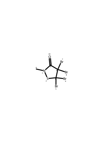 CN1SC(Br)(Br)C(Br)(Br)C1=O